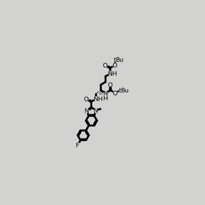 Cn1c(C(=O)NC[C@H](CCCNC(=O)OC(C)(C)C)NC(=O)OC(C)(C)C)nc2cc(-c3ccc(F)cc3)ccc21